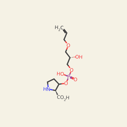 C=CCOC[C@H](O)COP(=O)(O)OC1CCN[C@@H]1C(=O)O